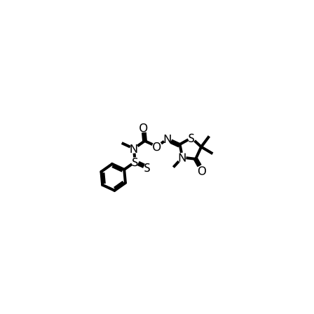 CN1C(=O)C(C)(C)SC1=NOC(=O)N(C)S(=S)c1ccccc1